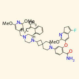 C=C(C)c1ccccc1[C@@H]1CN(Cc2cc(OC)nc(OC)c2)CCN1C1CC2(CCN(c3ccc(C(N)=O)c(Oc4cc5c(nc4OC)CC=C5F)c3)CC2)C1